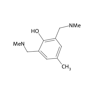 CNCc1cc(C)cc(CNC)c1O